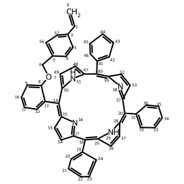 C=Cc1ccc(COc2ccccc2-c2c3nc(c(-c4ccccc4)c4ccc([nH]4)c(-c4ccccc4)c4nc(c(-c5ccccc5)c5ccc2[nH]5)C=C4)C=C3)cc1